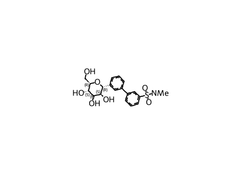 CNS(=O)(=O)c1cccc(-c2cccc([C@H]3O[C@H](CO)[C@@H](O)[C@H](O)[C@@H]3O)c2)c1